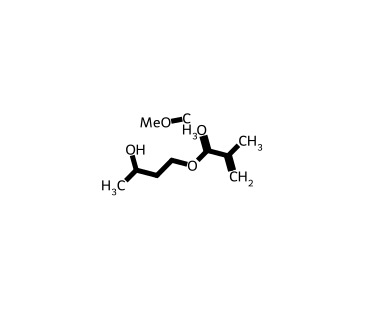 C=C(C)C(=O)OCCC(C)O.COC